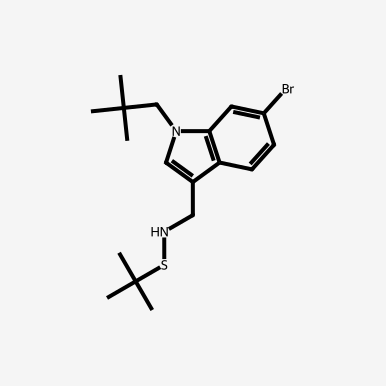 CC(C)(C)Cn1cc(CNSC(C)(C)C)c2ccc(Br)cc21